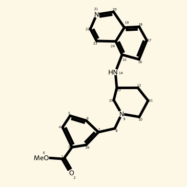 COC(=O)c1cccc(CN2CCCC(Nc3cccc4cnccc34)C2)c1